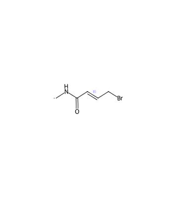 [CH2]NC(=O)/C=C/CBr